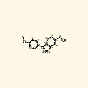 COc1ccc(-c2nsc3cc(CBr)ccc23)cn1